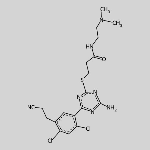 CN(C)CCNC(=O)CCSc1nc(N)nc(-c2cc(CCC#N)c(Cl)cc2Cl)n1